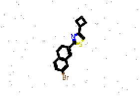 Brc1ccc2c(c1)C=C(c1nc(C3CCC3)cs1)CC2